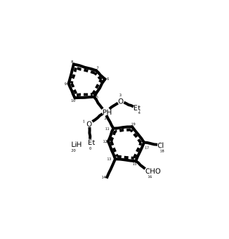 CCO[PH](OCC)(c1ccccc1)c1cc(C)c(C=O)c(Cl)c1.[LiH]